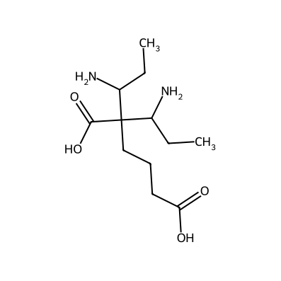 CCC(N)C(CCCC(=O)O)(C(=O)O)C(N)CC